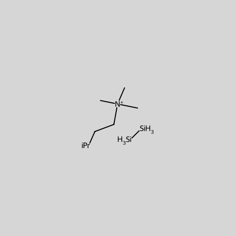 CC(C)CC[N+](C)(C)C.[SiH3][SiH3]